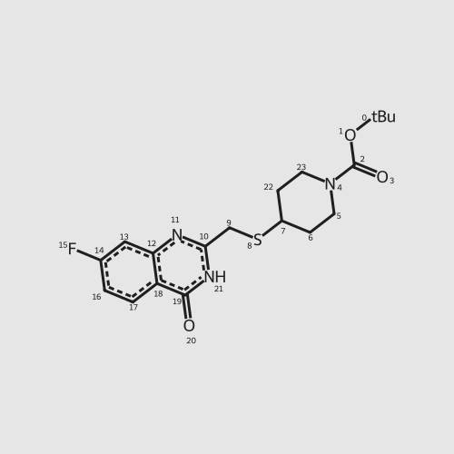 CC(C)(C)OC(=O)N1CCC(SCc2nc3cc(F)ccc3c(=O)[nH]2)CC1